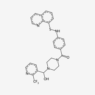 O=C(c1ccc(NSc2cccc3cccnc23)cc1)N1CCN(C(O)c2cccnc2C(F)(F)F)CC1